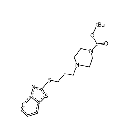 CC(C)(C)OC(=O)N1CCN(CCCSc2nc3ccccc3s2)CC1